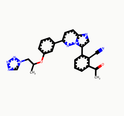 CC(=O)c1cccc(-c2cnc3ccc(-c4cccc(OC(C)Cn5cnnn5)c4)nn23)c1C#N